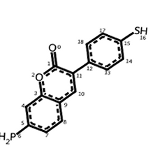 O=c1oc2cc(P)ccc2cc1-c1ccc(S)cc1